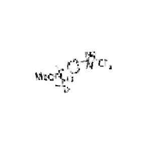 CON(C(=O)C1(C)CC1)C(C)c1ccc(-c2noc(C(F)(F)F)n2)cc1